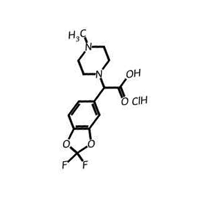 CN1CCN(C(C(=O)O)c2ccc3c(c2)OC(F)(F)O3)CC1.Cl